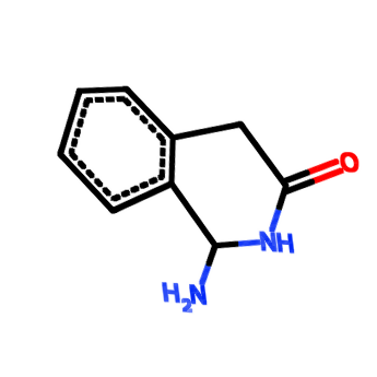 NC1NC(=O)Cc2ccccc21